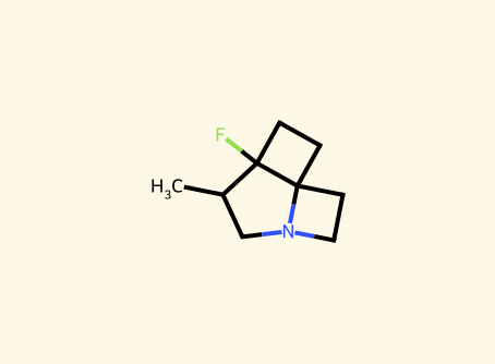 CC1CN2CCC23CCC13F